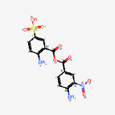 Nc1ccc(S(=O)(=O)O)cc1C(=O)OC(=O)c1ccc(N)c([N+](=O)[O-])c1